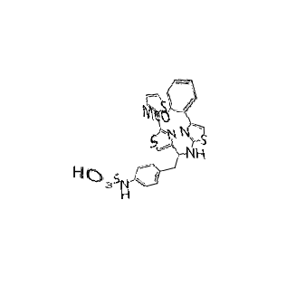 COc1ccccc1-c1csc(NC(Cc2ccc(NS(=O)(=O)O)cc2)c2csc(-c3cccs3)n2)n1